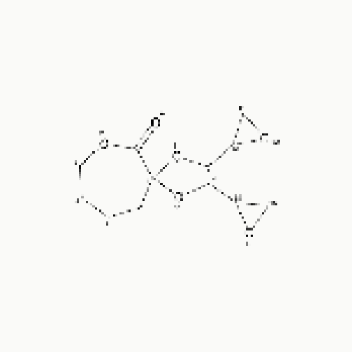 O=C1OCCCCC1(OCC1CO1)OCC1CO1